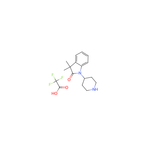 CC1(C)C(=O)N(C2CCNCC2)c2ccccc21.O=C(O)C(F)(F)F